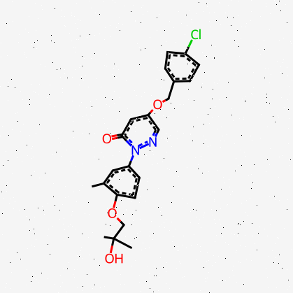 Cc1cc(-n2ncc(OCc3ccc(Cl)cc3)cc2=O)ccc1OCC(C)(C)O